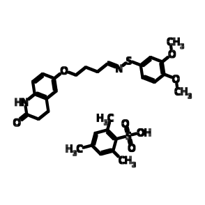 COc1ccc(SN=CCCCOc2ccc3c(c2)CCC(=O)N3)cc1OC.Cc1cc(C)c(S(=O)(=O)O)c(C)c1